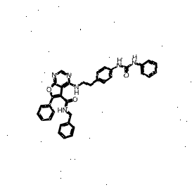 O=C(Nc1ccccc1)Nc1ccc(CCNc2ncnc3oc(-c4ccccc4)c(C(=O)NCc4ccccc4)c23)cc1